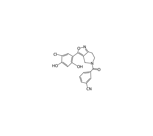 N#Cc1cccc(C(=O)N2CCc3noc(-c4cc(Cl)c(O)cc4O)c3C2)c1